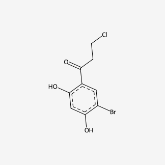 O=C(CCCl)c1cc(Br)c(O)cc1O